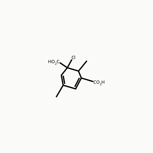 CC1=CC(Cl)(C(=O)O)C(C)C(C(=O)O)=C1